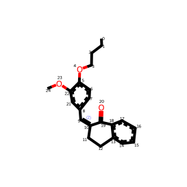 CCCCOc1ccc(/C=C2/CCc3ccccc3C2=O)cc1OC